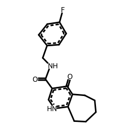 O=C(NCc1ccc(F)cc1)c1c[nH]c2c(c1=O)CCCCC2